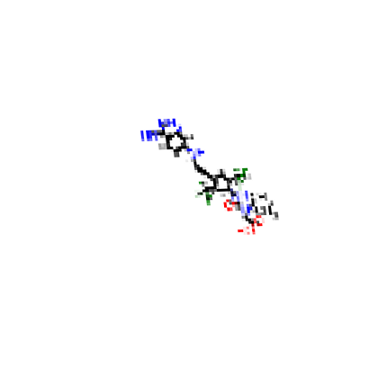 CC(C)N(CC(=O)O)C(=O)Nc1cc(C(F)(F)F)c(C#CCNc2ccc(C(=N)N)cc2)cc1C(F)(F)F